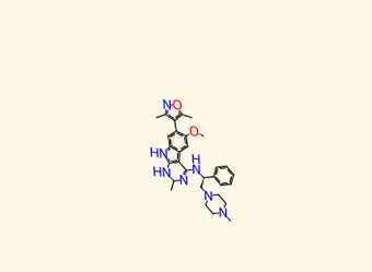 COc1cc2c3c([nH]c2cc1-c1c(C)noc1C)NC(C)N=C3N[C@H](CN1CCN(C)CC1)c1ccccc1